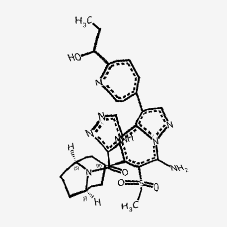 CCC(O)c1ccc(-c2cnn3c(N)c(S(C)(=O)=O)c([C@H]4C[C@H]5CC[C@@H](C4)N5C(=O)c4nnc[nH]4)nc23)cn1